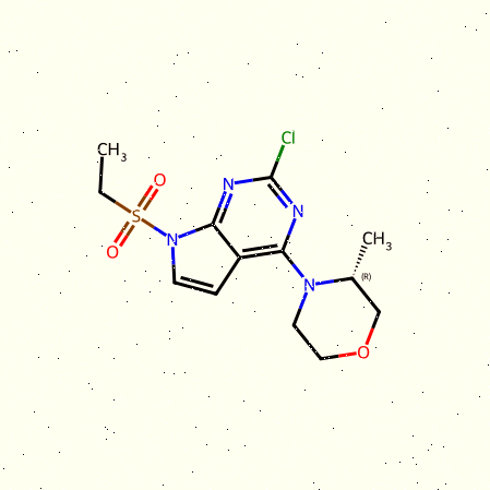 CCS(=O)(=O)n1ccc2c(N3CCOC[C@H]3C)nc(Cl)nc21